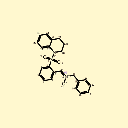 O=S(=O)(c1ccccc1/C=[N+](\[O-])Cc1ccccc1)N1CCCc2ccccc21